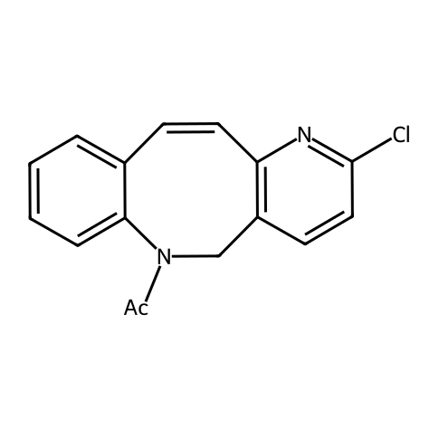 CC(=O)N1Cc2ccc(Cl)nc2C=Cc2ccccc21